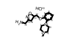 CN1CCN(c2ccccc2OCC2CC(CN)=NO2)CC1.Cl